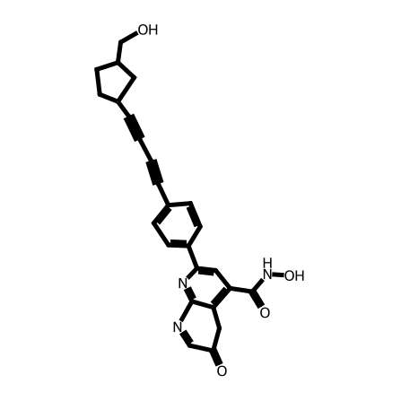 O=C1C=Nc2nc(-c3ccc(C#CC#CC4CCC(CO)C4)cc3)cc(C(=O)NO)c2C1